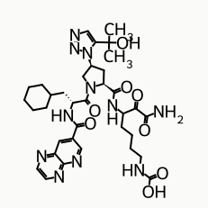 CC(C)(O)c1cnnn1[C@H]1C[C@@H](C(=O)NC(CCCCNC(=O)O)C(=O)C(N)=O)N(C(=O)[C@@H](CC2CCCCC2)NC(=O)c2cnc3nccnc3c2)C1